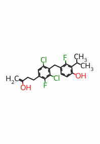 C=C(O)CCc1cc(Cl)c(Cc2ccc(O)c(C(C)C)c2F)c(Cl)c1F